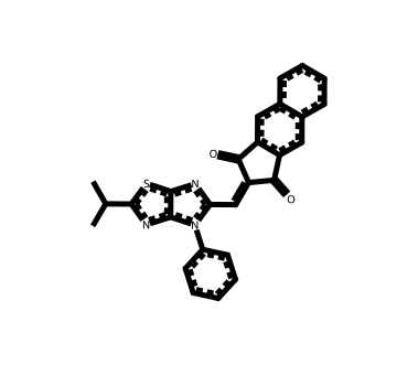 CC(C)c1nc2c(nc(C=C3C(=O)c4cc5ccccc5cc4C3=O)n2-c2ccccc2)s1